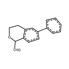 O=CC1OCCc2cc(-c3ccccc3)ccc21